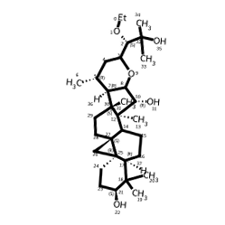 CCO[C@@H](C1C[C@@H](C)[C@H]2C(O1)[C@H](O)[C@@]1(C)C3CC[C@H]4C(C)(C)[C@@H](O)CC[C@@]45C[C@@]35CC[C@]21C)C(C)(C)O